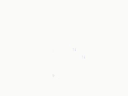 O=C(O)c1cnn(-c2ccccc2)c1F